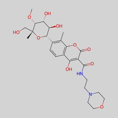 CO[C@@H]1[C@H](O)[C@@H](O)[C@H](c2ccc3c(O)c(C(=O)NCCN4CCOCC4)c(=O)oc3c2C)O[C@]1(C)CO